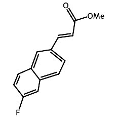 COC(=O)/C=C/c1ccc2cc(F)ccc2c1